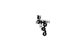 Cc1cn(-c2cncc3[nH]c(-c4n[nH]c5ccc(-c6cncc(CN7CCCCC7)c6)cc45)nc23)cn1